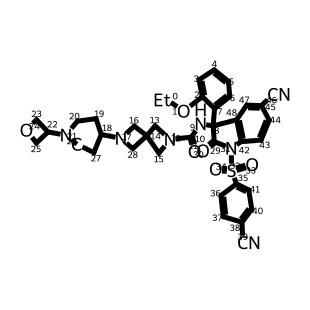 CCOc1ccccc1C1(NC(=O)N2CC3(C2)CN(C2CCN(C4COC4)CC2)C3)C(=O)N(S(=O)(=O)c2ccc(C#N)cc2)c2ccc(C#N)cc21